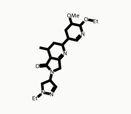 CCOC1N=CC(C2CC(C)C3C(=O)N(C4C=NN(CC)C4)CC3=N2)CC1OC